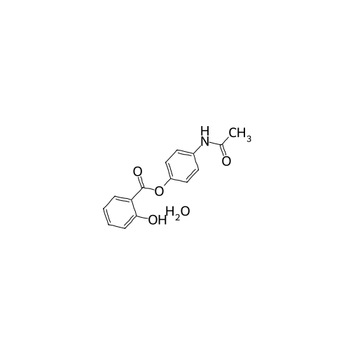 CC(=O)Nc1ccc(OC(=O)c2ccccc2O)cc1.O